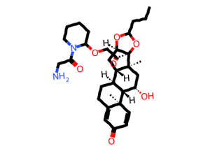 CCCC1O[C@@H]2C[C@H]3[C@@H]4CCC5=CC(=O)C=C[C@]5(C)[C@H]4[C@@H](O)C[C@]3(C)[C@]2(C(=O)COC2CCCCN2C(=O)CN)O1